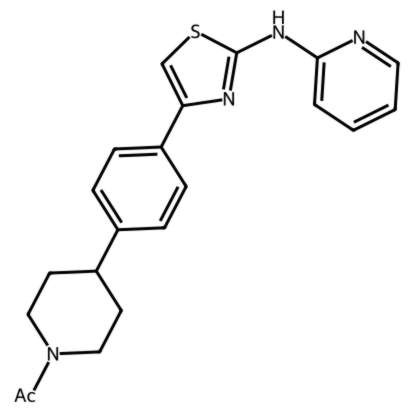 CC(=O)N1CCC(c2ccc(-c3csc(Nc4ccccn4)n3)cc2)CC1